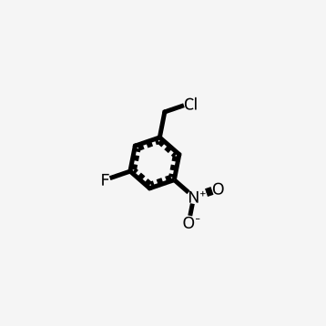 O=[N+]([O-])c1cc(F)cc(CCl)c1